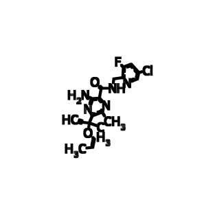 C#CC(C)(O/C=C\C)c1nc(N)c(C(=O)NCc2ncc(Cl)cc2F)nc1C